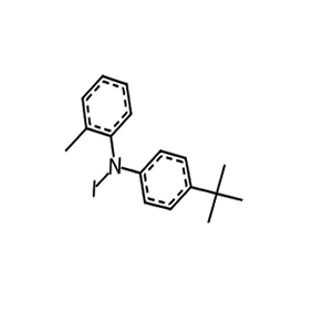 Cc1ccccc1N(I)c1ccc(C(C)(C)C)cc1